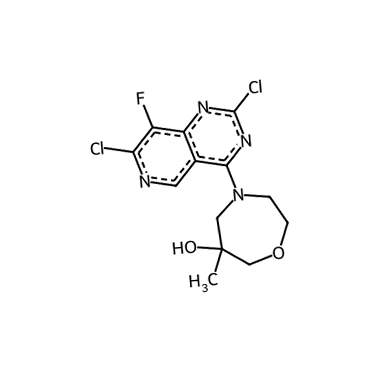 CC1(O)COCCN(c2nc(Cl)nc3c(F)c(Cl)ncc23)C1